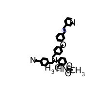 Cc1c(NS(C)(=O)=O)cccc1N(Cc1ccc(C#N)cc1)Cc1ccc(Oc2cccc(/C=C/c3cccnc3)c2)cc1